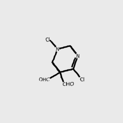 O=CC1(C=O)CN(Cl)CN=C1Cl